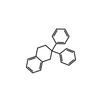 c1ccc(C2(c3ccccc3)CCc3ccccc3C2)cc1